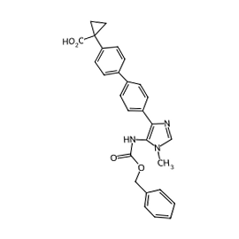 Cn1cnc(-c2ccc(-c3ccc(C4(C(=O)O)CC4)cc3)cc2)c1NC(=O)OCc1ccccc1